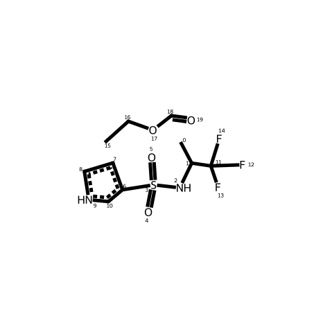 CC(NS(=O)(=O)c1cc[nH]c1)C(F)(F)F.CCOC=O